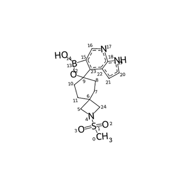 CS(=O)(=O)N1CC2(CCC3(CC2)OB(O)c2cnc4[nH]ccc4c23)C1